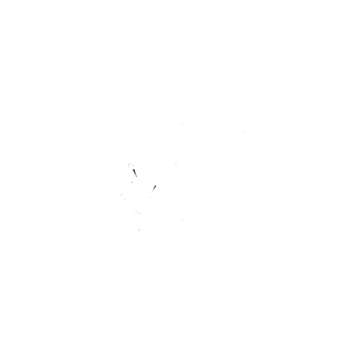 O=C(Cc1csc(-c2ccccc2)n1)N[C@@H]1C(=O)N2C(C(=O)O)=C(Cl)CS[C@@H]12